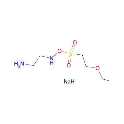 CCOCCS(=O)(=O)ONCCN.[NaH]